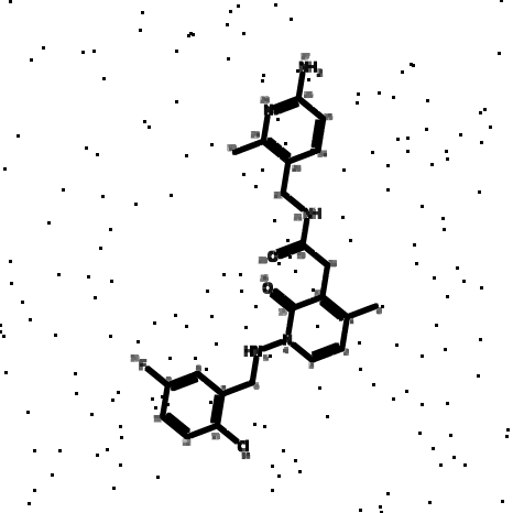 Cc1ccn(NCc2cc(F)ccc2Cl)c(=O)c1CC(=O)NCc1ccc(N)nc1C